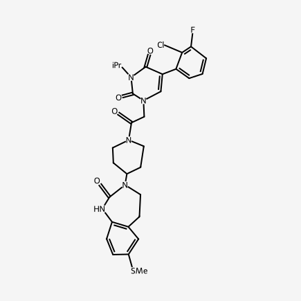 CSc1ccc2c(c1)CCN(C1CCN(C(=O)Cn3cc(-c4cccc(F)c4Cl)c(=O)n(C(C)C)c3=O)CC1)C(=O)N2